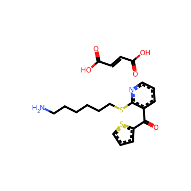 NCCCCCCSc1ncccc1C(=O)c1cccs1.O=C(O)C=CC(=O)O